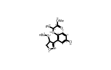 CCCCOC1CON=C1c1cc(Cl)ccc1OC(C(=O)OC)C(C)C